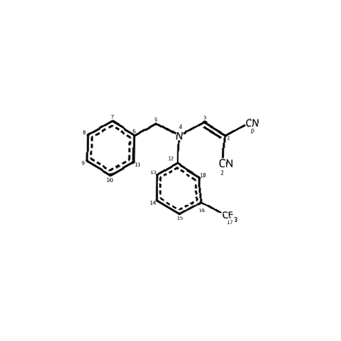 N#CC(C#N)=CN(Cc1ccccc1)c1cccc(C(F)(F)F)c1